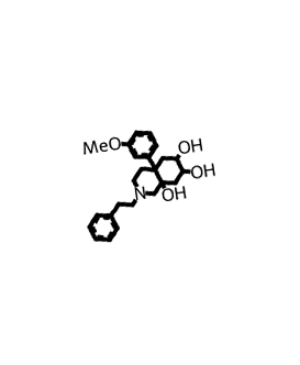 COc1cccc(C23CCN(CCc4ccccc4)CC2(O)CC(O)C(O)C3)c1